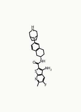 Cc1nc2sc(C(=O)N[C@@H]3CCc4cc(N5C6CCC5CNC6)ccc4C3)c(N)c2cc1F